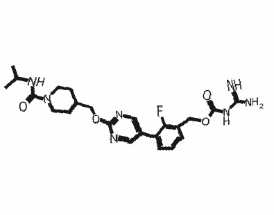 CC(C)NC(=O)N1CCC(COc2ncc(-c3cccc(COC(=O)NC(=N)N)c3F)cn2)CC1